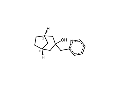 OC1(Cc2ccccn2)C[C@@H]2CC[C@@H](C2)C1